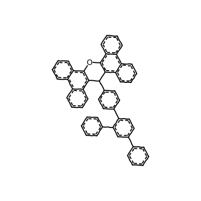 c1ccc(-c2ccc(-c3ccc(C4c5c(c6ccccc6c6ccccc56)Oc5c4c4ccccc4c4ccccc54)cc3)c(-c3ccccc3)c2)cc1